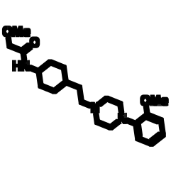 COCC(=O)NC1CCC(CCN2CCN(c3ccccc3OC)CC2)CC1